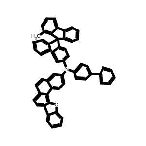 Cc1cccc2c1C(c1ccccc1)(c1ccc(N(c3ccc(-c4ccccc4)cc3)c3ccc4c(ccc5ccc6c7ccccc7oc6c54)c3)cc1)c1ccccc1-2